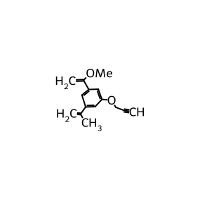 C#CCOc1cc(C(=C)C)cc(C(=C)OC)c1